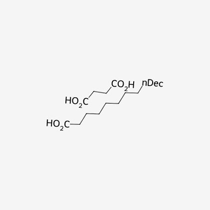 CCCCCCCCCCCCCCCCCC(=O)O.O=C(O)CCC(=O)O